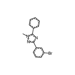 Cn1nc(-c2cccc(Br)c2)nc1-c1ccccc1